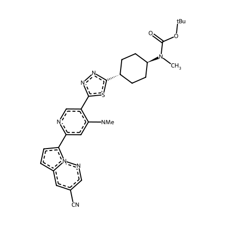 CNc1cc(-c2ccc3cc(C#N)cnn23)ncc1-c1nnc([C@H]2CC[C@H](N(C)C(=O)OC(C)(C)C)CC2)s1